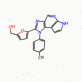 N#Cc1ccc(-n2c(-c3ccc(CO)o3)nc3cnc4[nH]ccc4c32)cc1